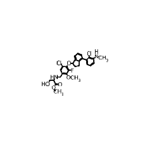 CNc1cccc(-c2cccc3c2CCC3Oc2c(Cl)cc(CNC(CO)C(=O)OC)c(OC)c2F)c1Cl